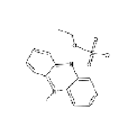 CCOS(=O)(=O)[O-].C[n+]1c2ccccc2nc2ccccc21